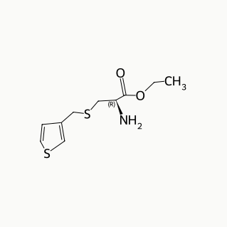 CCOC(=O)[C@@H](N)CSCc1ccsc1